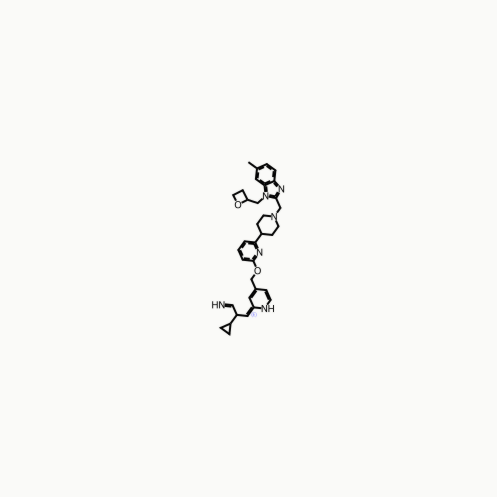 Cc1ccc2nc(CN3CCC(c4cccc(OCC5=C/C(=C\C(C=N)C6CC6)NC=C5)n4)CC3)n(CC3CCO3)c2c1